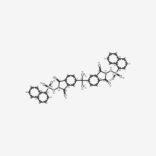 O=C1c2ccc(C(c3ccc4c(c3)C(=O)N(OS(=O)(=O)c3cccc5ccccc35)C4=O)(C(F)(F)F)C(F)(F)F)cc2C(=O)N1OS(=O)(=O)c1cccc2ccccc12